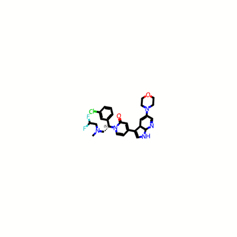 CN(CC(F)F)C[C@H](c1cccc(Cl)c1)n1ccc(C2=CNC3N=CC(N4CCOCC4)=CC23)cc1=O